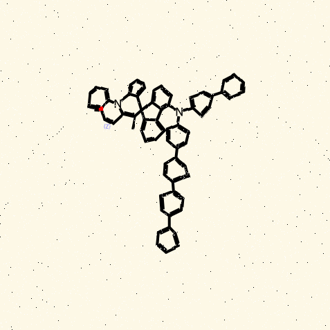 C=C/C=C\C1=C(C)C2(c3ccccc3-c3c(N(c4ccc(-c5ccccc5)cc4)c4ccc(-c5ccc(-c6ccc(-c7ccccc7)cc6)cc5)cc4)cccc32)c2ccccc2N1c1ccccc1